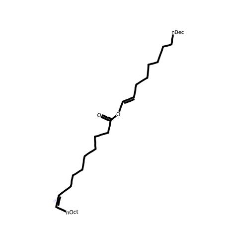 CCCCCCCC/C=C\CCCCCCCC(=O)OC=CCCCCCCCCCCCCCCCC